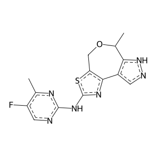 Cc1nc(Nc2nc3c(s2)COC(C)c2[nH]ncc2-3)ncc1F